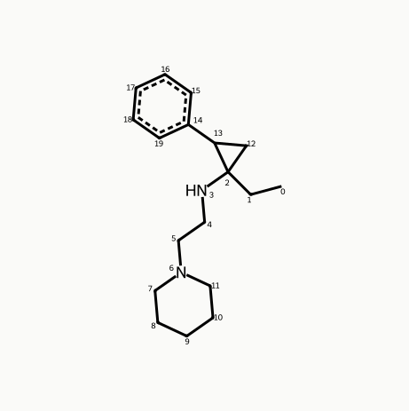 CCC1(NCCN2CCCCC2)CC1c1ccccc1